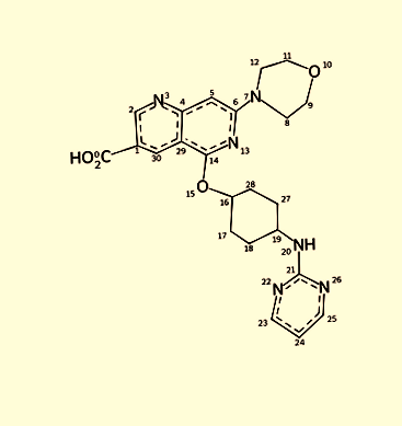 O=C(O)c1cnc2cc(N3CCOCC3)nc(OC3CCC(Nc4ncccn4)CC3)c2c1